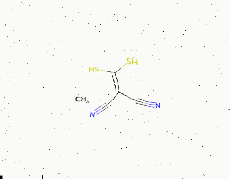 C.N#CC(C#N)=C(S)S